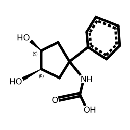 O=C(O)NC1(c2ccccc2)C[C@@H](O)[C@@H](O)C1